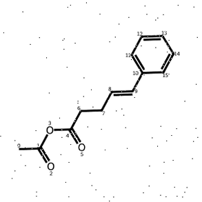 CC(=O)OC(=O)CCC=Cc1ccccc1